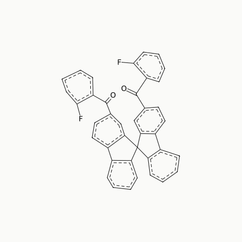 O=C(c1ccc2c(c1)C1(c3ccccc3-2)c2ccccc2-c2ccc(C(=O)c3ccccc3F)cc21)c1ccccc1F